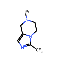 CC(C)N1CCn2c(cnc2C(F)(F)F)C1